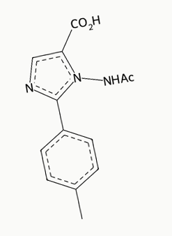 CC(=O)Nn1c(C(=O)O)cnc1-c1ccc(C)cc1